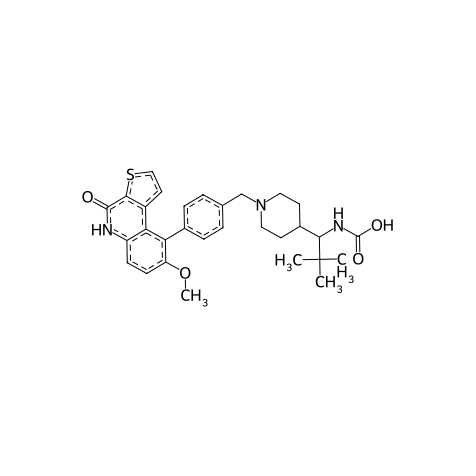 COc1ccc2[nH]c(=O)c3sccc3c2c1-c1ccc(CN2CCC(C(NC(=O)O)C(C)(C)C)CC2)cc1